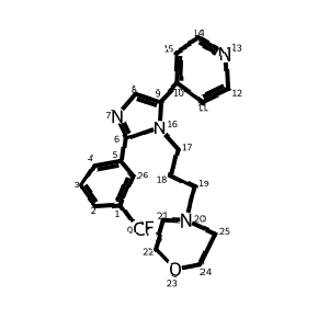 FC(F)(F)c1cccc(-c2ncc(-c3ccncc3)n2CCCN2CCOCC2)c1